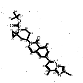 Cc1cn2nc(-c3cc(C)c4c(=O)n(C5CCN(C(=O)OC(C)(C)C)C6(CC6)C5)ccc4c3)cc(C)c2n1